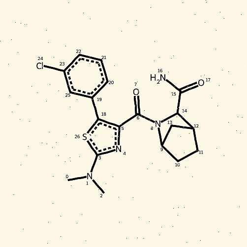 CN(C)c1nc(C(=O)N2C3CCC(C3)C2C(N)=O)c(-c2cccc(Cl)c2)s1